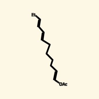 CCC=CC=CCCCCC=COC(C)=O